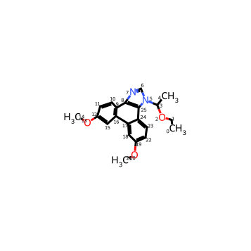 CCOC(C)n1cnc2c3ccc(OC)cc3c3cc(OC)ccc3c21